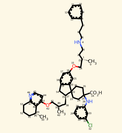 C[C@@H](CCNCCCc1ccccc1)COc1ccc2c(c1)C1(CCC(Nc3cccc(Cl)c3)(C(=O)O)CC1)[C@@H](C[C@@H](C)COc1ccnc3c1[C@H](C)CCC3)C2